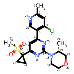 Cc1cc(Cl)c(-c2cc(C3(S(C)(=O)=O)CC3)nc(N3CCOC[C@H]3C)n2)cn1